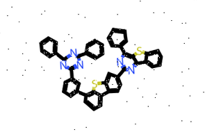 c1ccc(-c2nc(-c3ccccc3)nc(-c3cccc(-c4cccc5c4sc4cc(-c6nc(-c7ccccc7)c7sc8ccccc8c7n6)ccc45)c3)n2)cc1